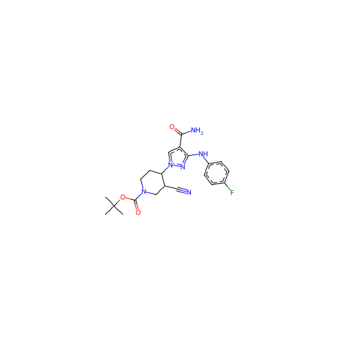 CC(C)(C)OC(=O)N1CCC(n2cc(C(N)=O)c(Nc3ccc(F)cc3)n2)C(C#N)C1